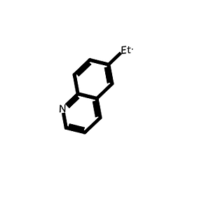 C[CH]c1ccc2ncccc2c1